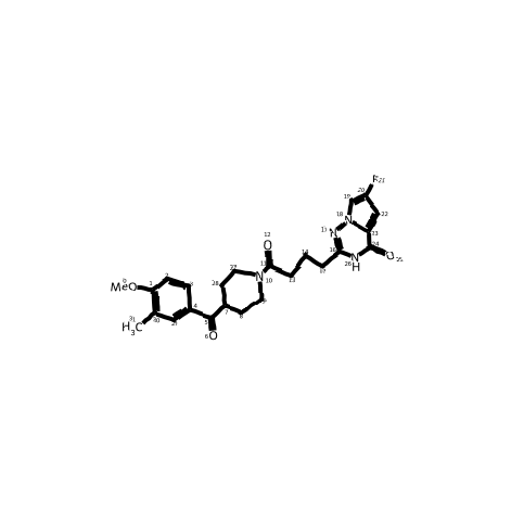 COc1ccc(C(=O)C2CCN(C(=O)CCCc3nn4cc(F)cc4c(=O)[nH]3)CC2)cc1C